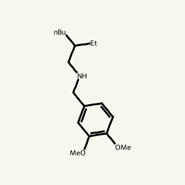 CCCCC(CC)CNCc1ccc(OC)c(OC)c1